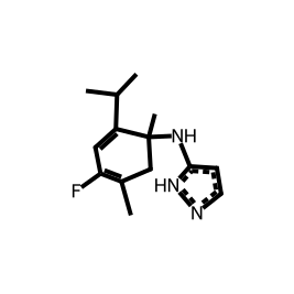 CC1=C(F)C=C(C(C)C)C(C)(Nc2ccn[nH]2)C1